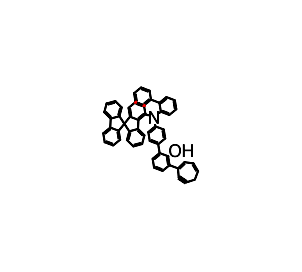 Oc1c(C2=CC=CCC#C2)cccc1-c1ccc(N(c2ccccc2-c2ccccc2)c2cccc3c2-c2ccccc2C32c3ccccc3-c3ccccc32)cc1